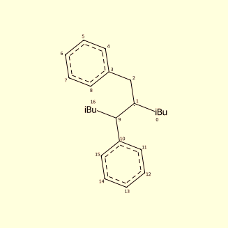 CCC(C)[C](Cc1ccccc1)C(c1ccccc1)C(C)CC